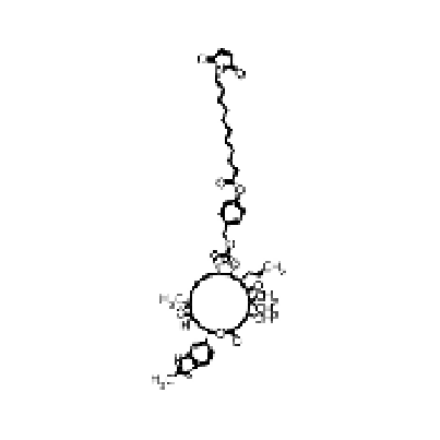 C=CC[C@H]1C(=O)C(C)(C)[C@@H](O)CC(=O)O[C@H](c2ccc3sc(C)nc3c2)C[C@@H]2O[C@]2(C)CCC[C@H](C)[C@@H]1OC(=O)OCc1ccc(OC(=O)CCCCCCCCCCN2C(=O)C=CC2=O)cc1